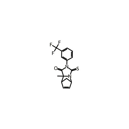 CC12C(=O)N(c3cccc(C(F)(F)F)c3)C(=S)N1C1C=CC2C1